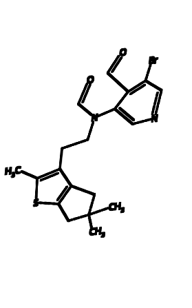 Cc1sc2c(c1CCN(C=O)c1cncc(Br)c1C=O)CC(C)(C)C2